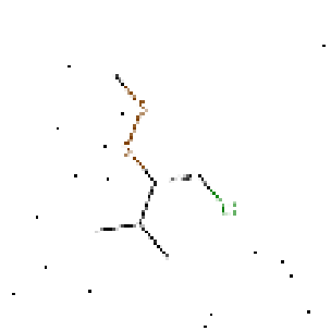 CSS[C@H](CCl)C(C)C